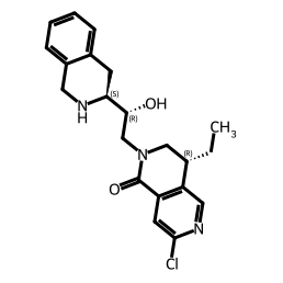 CC[C@H]1CN(C[C@@H](O)[C@@H]2Cc3ccccc3CN2)C(=O)c2cc(Cl)ncc21